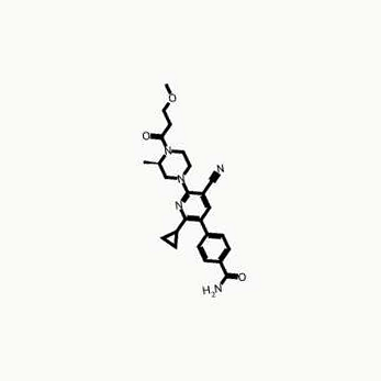 COCCC(=O)N1CCN(c2nc(C3CC3)c(-c3ccc(C(N)=O)cc3)cc2C#N)C[C@H]1C